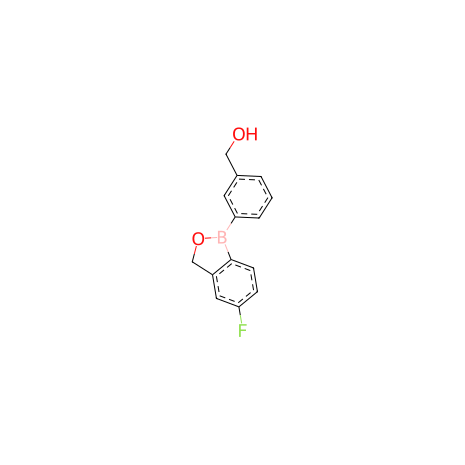 OCc1cccc(B2OCc3cc(F)ccc32)c1